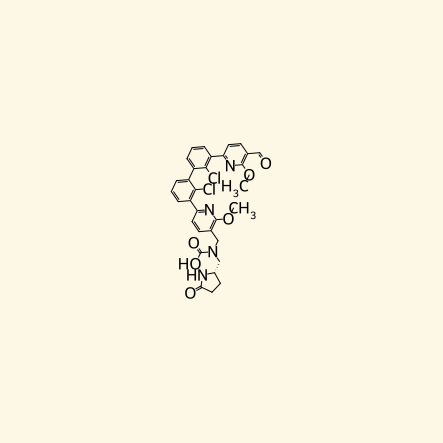 COc1nc(-c2cccc(-c3cccc(-c4ccc(CN(C[C@@H]5CCC(=O)N5)C(=O)O)c(OC)n4)c3Cl)c2Cl)ccc1C=O